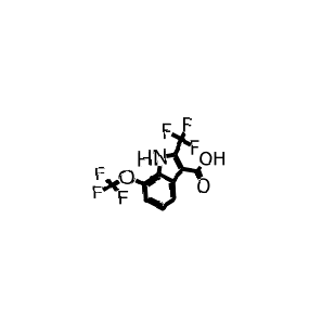 O=C(O)c1c(C(F)(F)F)[nH]c2c(OC(F)(F)F)cccc12